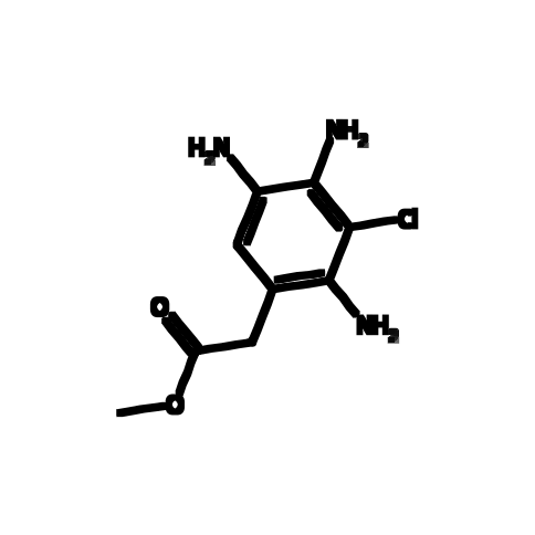 COC(=O)Cc1cc(N)c(N)c(Cl)c1N